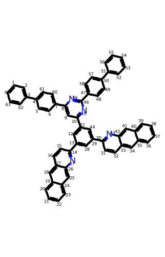 c1ccc(-c2ccc(-c3cc(-c4cc(-c5ccc6cc7ccccc7cc6n5)cc(-c5ccc6cc7ccccc7cc6n5)c4)nc(-c4ccc(-c5ccccc5)cc4)n3)cc2)cc1